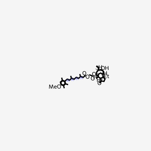 C=C[C@]1(C)C[C@@H](OC(=O)COC(=O)/C=C(C)/C=C/C=C(C)/C=C/c2c(C)cc(OC)c(C)c2C)C2(C)CC[C@@H](C[C@@H]1O)C1(CC)CCC(=O)[C@@H]21